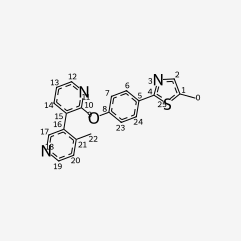 Cc1cnc(-c2ccc(Oc3ncccc3-c3cnccc3C)cc2)s1